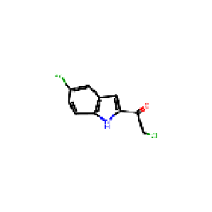 O=C(CCl)c1cc2cc(Br)ccc2[nH]1